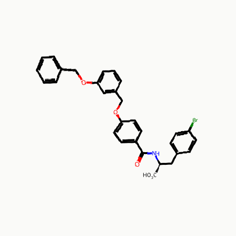 O=C(N[C@@H](Cc1ccc(Br)cc1)C(=O)O)c1ccc(OCc2cccc(OCc3ccccc3)c2)cc1